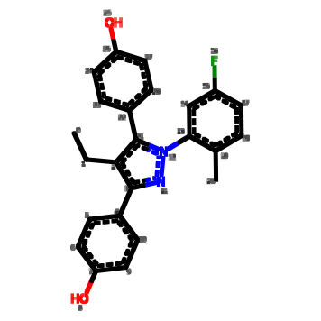 CCc1c(-c2ccc(O)cc2)nn(-c2cc(F)ccc2C)c1-c1ccc(O)cc1